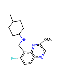 COc1cnc2ccc(F)c(CNC3CCC(C)CC3)c2n1